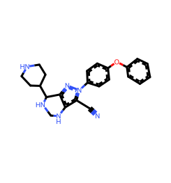 N#Cc1c2c(nn1-c1ccc(Oc3ccccc3)cc1)C(C1CCNCC1)NCN2